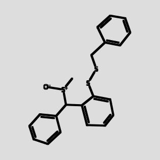 C[S+]([O-])C(c1ccccc1)c1ccccc1SSCc1ccccc1